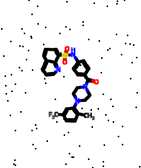 Cc1ccc(C(F)(F)F)cc1N1CCN(C(=O)c2ccc(NS(=O)(=O)c3cccc4cccnc34)cc2)CC1